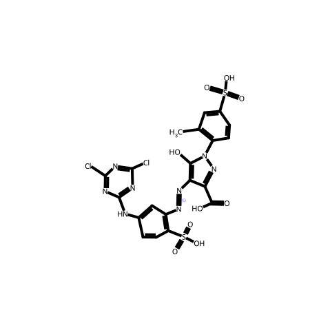 Cc1cc(S(=O)(=O)O)ccc1-n1nc(C(=O)O)c(/N=N/c2cc(Nc3nc(Cl)nc(Cl)n3)ccc2S(=O)(=O)O)c1O